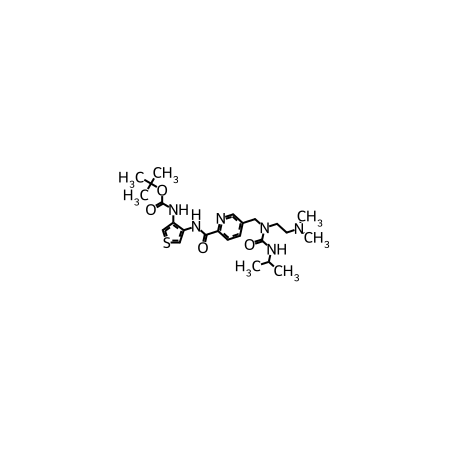 CC(C)NC(=O)N(CCN(C)C)Cc1ccc(C(=O)Nc2cscc2NC(=O)OC(C)(C)C)nc1